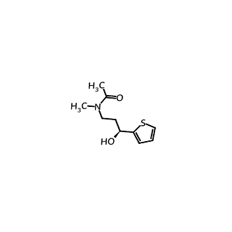 CC(=O)N(C)CC[C@H](O)c1cccs1